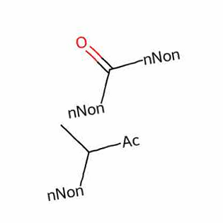 CCCCCCCCCC(=O)CCCCCCCCC.CCCCCCCCCC(C)C(C)=O